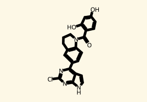 O=C(c1ccc(O)cc1O)N1CCCc2cc(-c3nc(Cl)nc4[nH]ccc34)ccc21